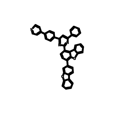 c1ccc(-c2cc(-c3ccc(-c4ccncc4)cc3)nc(-c3ccc(-c4ccc5c(c4)oc4ccccc45)c4oc5ccccc5c34)n2)cc1